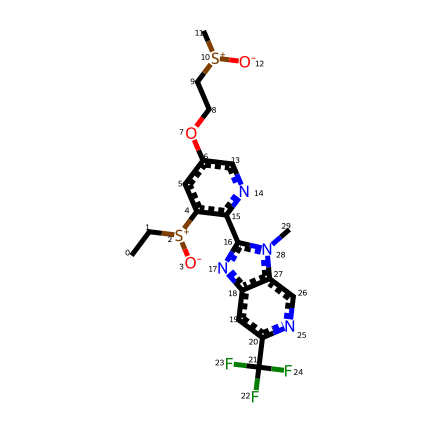 CC[S+]([O-])c1cc(OCC[S+](C)[O-])cnc1-c1nc2cc(C(F)(F)F)ncc2n1C